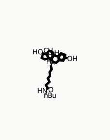 CCCCNC(=O)CCCCCCC[C@@H]1Cc2cc(O)ccc2[C@H]2CC[C@]3(C)[C@@H](O)CC[C@H]3[C@H]12